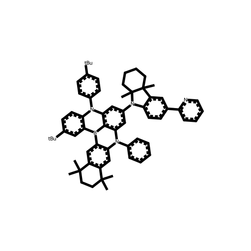 CC(C)(C)c1ccc(N2c3ccc(C(C)(C)C)cc3B3c4cc5c(cc4N(c4ccccc4)c4cc(N6c7ccc(-c8ccccn8)cc7C7(C)CCCCC67C)cc2c43)C(C)(C)CCC5(C)C)cc1